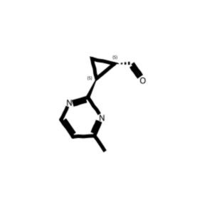 Cc1ccnc([C@H]2C[C@@H]2C=O)n1